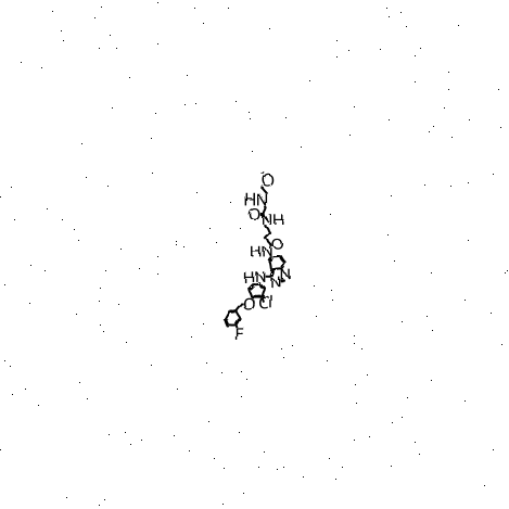 COCCNCC(=O)NCCCC(=O)Nc1ccc2ncnc(Nc3ccc(OCc4cccc(F)c4)c(Cl)c3)c2c1